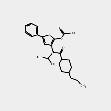 CCCC1CCC(C(=O)N(c2cc(-c3ccccc3)sc2OC(=O)O)C(C)C)CC1